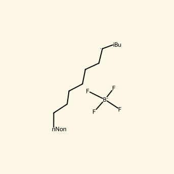 CCCCCCCCCCCCCCC[CH]C(C)CC.F[B-](F)(F)F